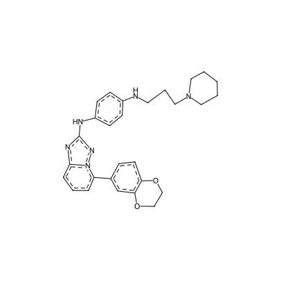 c1cc(-c2ccc3c(c2)OCCO3)n2nc(Nc3ccc(NCCCN4CCCCC4)cc3)nc2c1